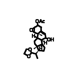 CC(=O)OC1CC2=CC(O)[C@H]3[C@@H]4CC[C@H](C(C)C5OCCO5)[C@@]4(C)CC[C@@H]3[C@@]2(C)C2OC12